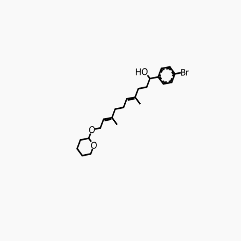 C/C(=C\COC1CCCCO1)CC/C=C(\C)CCC(O)c1ccc(Br)cc1